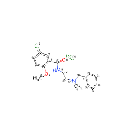 COc1ccc(Cl)cc1C(=O)NCCN(C)Cc1ccccc1.Cl